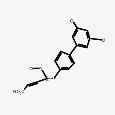 CCOC(=O)/C=C/[C@@H](Cc1ccc(-c2cc(Cl)cc(Cl)c2)cc1)NCl